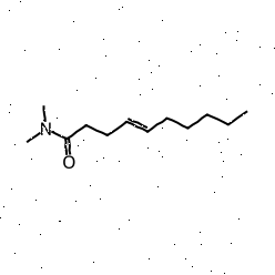 CCCCCC=CCCC(=O)N(C)C